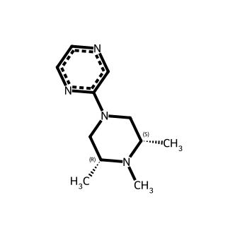 C[C@@H]1CN(c2cnccn2)C[C@H](C)N1C